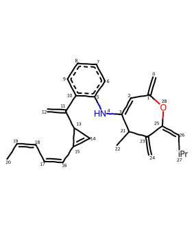 C=C1C=C(Nc2ccccc2C(=C)C2C=C2/C=C\C=C/C)C(C)C(=C)/C(=C\C(C)C)O1